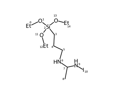 CCO[Si](CCCNC(C)NI)(OCC)OCC